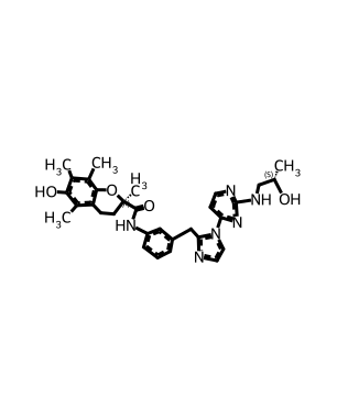 Cc1c(C)c2c(c(C)c1O)CC[C@](C)(C(=O)Nc1cccc(Cc3nccn3-c3ccnc(NC[C@H](C)O)n3)c1)O2